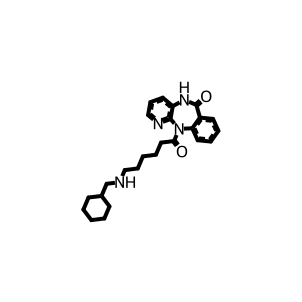 O=C1Nc2cccnc2N(C(=O)CCCCCNCC2CCCCC2)c2ccccc21